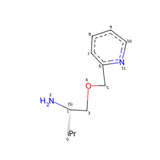 CC(C)[C@H](N)COCc1ccccn1